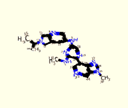 CNc1nc(Nc2cnc3c(c2)CN(C(C)C)C3)cnc1-c1cncc2c1ncn2C